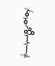 CC(C)Cc1ccc(OC(=O)c2ccc(OCCn3nnc4c3-c3ccccc3N(C(=O)CCCCC(=O)NCCCCCCOP(C)(O)=S)Cc3ccccc3-4)cc2)cc1